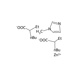 CCCCC(CC)C(=O)[O-].CCCCC(CC)C(=O)[O-].Cn1ccnc1.[Zn+2]